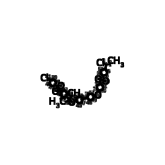 CCC(Cl)c1ccc(S(=O)(=O)c2ccc(Oc3ccc(-c4ccc(OC(CC)(CC)c5ccc(S(=O)(=O)c6ccc(Cl)cc6)cc5)cc4)cc3)cc2)cc1